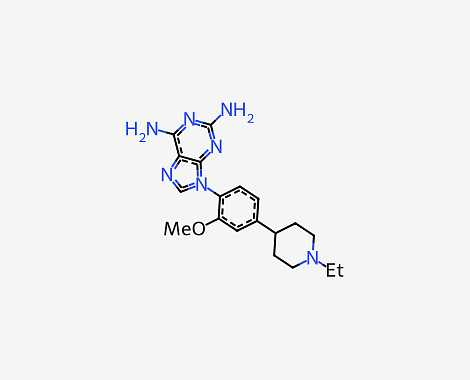 CCN1CCC(c2ccc(-n3cnc4c(N)nc(N)nc43)c(OC)c2)CC1